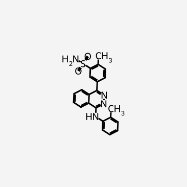 Cc1ccccc1Nc1nnc(-c2ccc(C)c(S(N)(=O)=O)c2)c2ccccc12